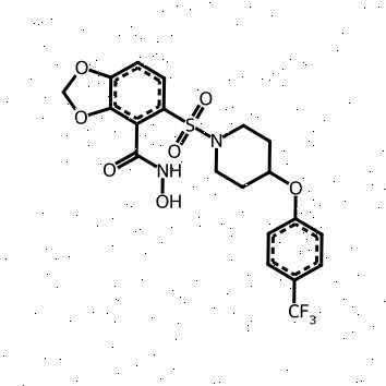 O=C(NO)c1c(S(=O)(=O)N2CCC(Oc3ccc(C(F)(F)F)cc3)CC2)ccc2c1OCO2